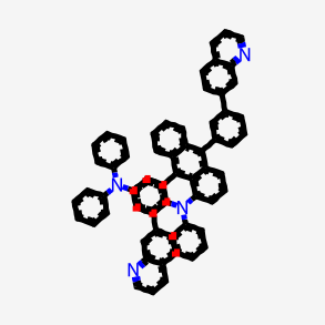 c1ccc(N(c2ccccc2)c2ccc(N(c3ccccc3)c3cccc4c(-c5cccc(-c6ccc7cccnc7c6)c5)c5ccccc5c(-c5cccc(-c6ccc7cccnc7c6)c5)c34)cc2)cc1